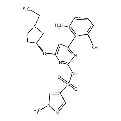 Cc1cccc(C)c1-c1cc(O[C@H]2CCN(CC(F)(F)F)C2)nc(NS(=O)(=O)c2cnn(C)c2)n1